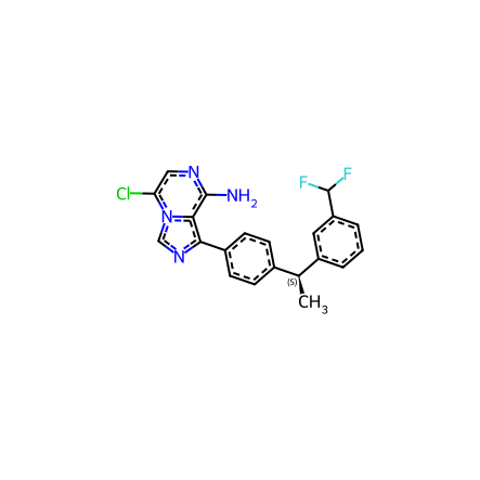 C[C@@H](c1ccc(-c2ncn3c(Cl)cnc(N)c23)cc1)c1cccc(C(F)F)c1